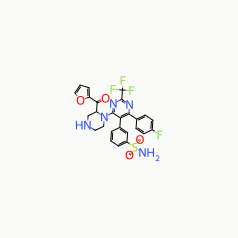 NS(=O)(=O)c1cccc(-c2c(-c3ccc(F)cc3)nc(C(F)(F)F)nc2N2CCNCC2C(=O)c2ccco2)c1